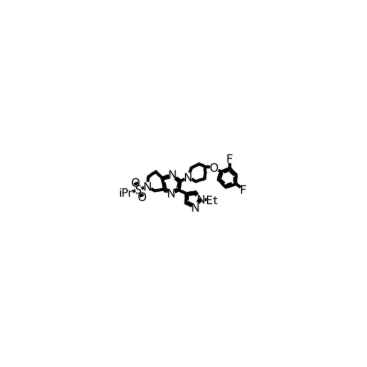 CCn1cc(-c2nc3c(nc2N2CCC(Oc4ccc(F)cc4F)CC2)CCN(S(=O)(=O)C(C)C)C3)cn1